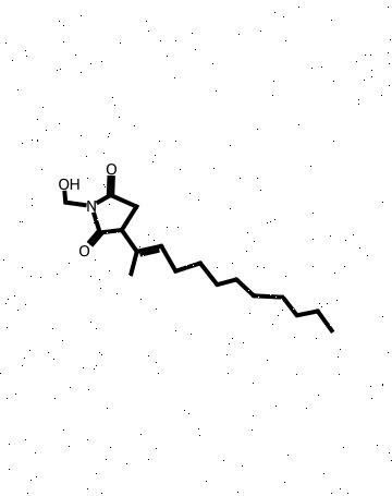 CCCCCCCCCC=C(C)C1CC(=O)N(CO)C1=O